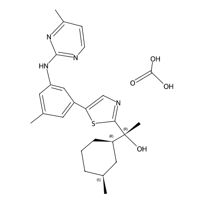 Cc1cc(Nc2nccc(C)n2)cc(-c2cnc([C@](C)(O)[C@@H]3CCC[C@H](C)C3)s2)c1.O=C(O)O